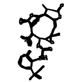 Cc1cccc(C(C)(C)C)c1NC(=O)OC1C(N(C)C)C2=CC(OC2=O)C2C(CC3(C)OC13)OC(=O)C2C